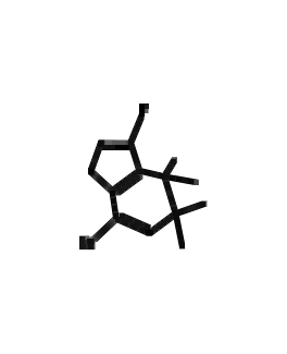 CCC1=CC(C)(C)C(C)(C)C2=C1CC=C2F